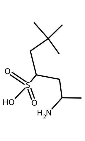 CC(N)CC(CC(C)(C)C)S(=O)(=O)O